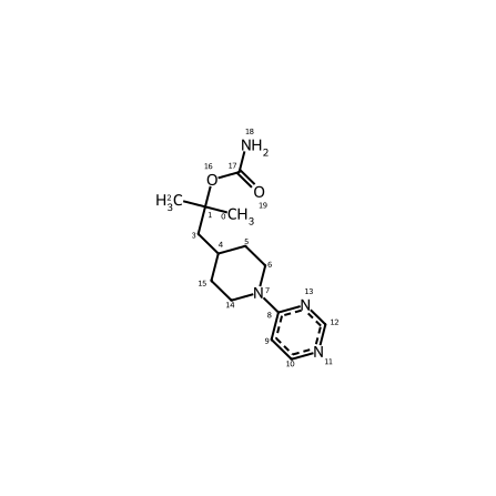 CC(C)(CC1CCN(c2ccncn2)CC1)OC(N)=O